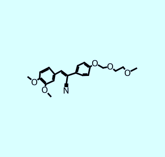 COCCOCOc1ccc(C(C#N)=Cc2ccc(OC)c(OC)c2)cc1